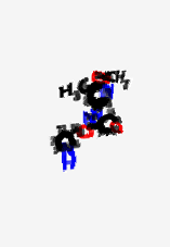 COc1ncc(-n2nc(OC[C@H]3CCCNC3)c3c2CCOCC3)cc1C